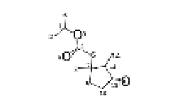 CC(C)OC(=O)CC1(C)CCC(=O)C1C